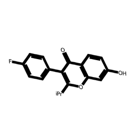 CC(C)c1oc2cc(O)ccc2c(=O)c1-c1ccc(F)cc1